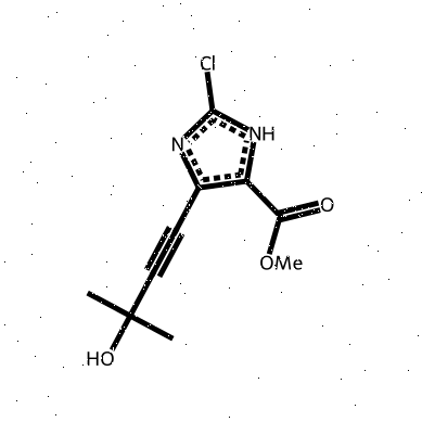 COC(=O)c1[nH]c(Cl)nc1C#CC(C)(C)O